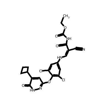 CCOC(=O)NC(=O)C(C#N)=CNc1cc(Cl)c(Oc2cc(C3CCC3)c(=O)[nH]n2)c(Cl)c1